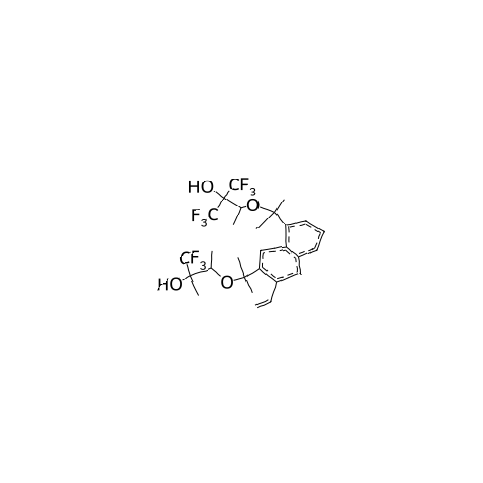 C=Cc1cc2cccc(C(C)(C)OC(C)C(O)(C(F)(F)F)C(F)(F)F)c2cc1C(C)(C)OC(C)C(C)(O)C(F)(F)F